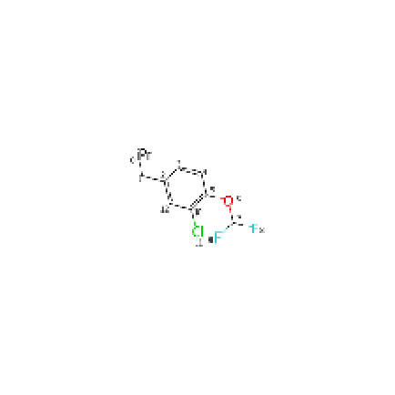 CC(C)Cc1ccc(OC(F)F)c(Cl)c1